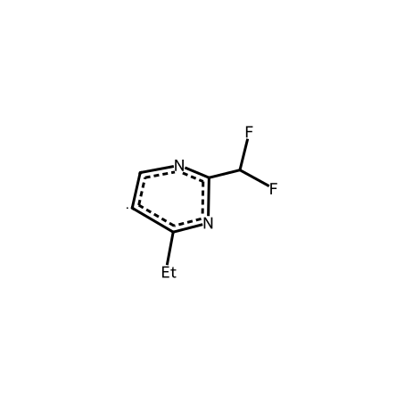 CCc1[c]cnc(C(F)F)n1